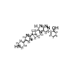 Nc1nnc(-c2ccccc2O)cc1N1CC2CC3(c4ncc(C5CCNCC5)cn4)CC(C1)C23